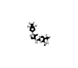 CNc1nc(Nc2cnn([C@@H]3C[C@@H]4[C@H](C3)C4(F)F)c2C)ncc1C(F)(F)F